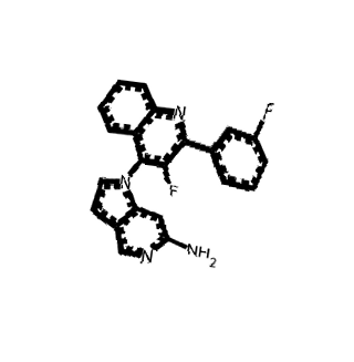 Nc1cc2c(ccn2-c2c(F)c(-c3cccc(F)c3)nc3ccccc23)cn1